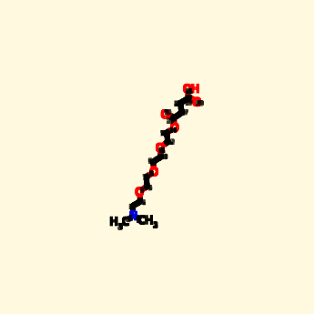 CN(C)CCOCCOCCOCCOC(=O)CCC(=O)O